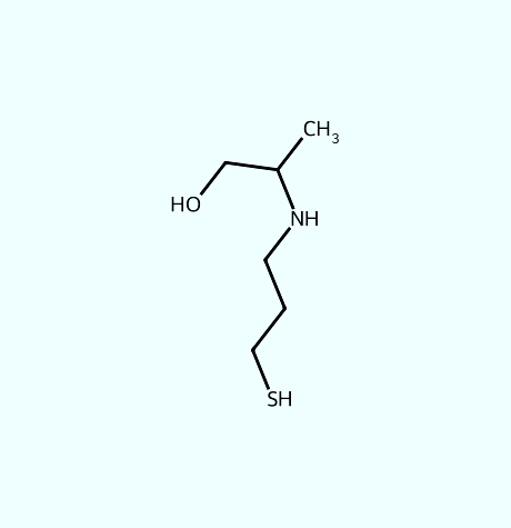 CC(CO)NCCCS